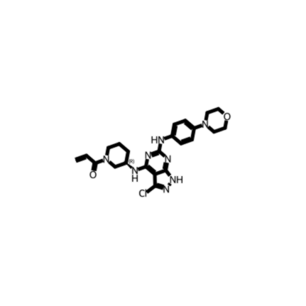 C=CC(=O)N1CCC[C@@H](Nc2nc(Nc3ccc(N4CCOCC4)cc3)nc3[nH]nc(Cl)c23)C1